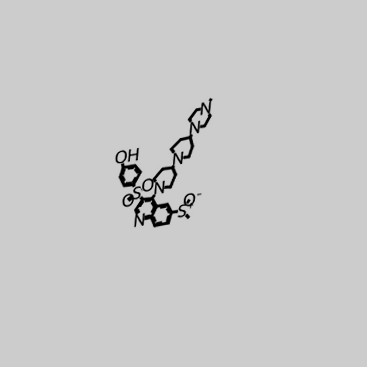 CN1CCN(C2CCN(C3CCN(c4c(S(=O)(=O)c5ccc(O)cc5)cnc5ccc([S+](C)[O-])cc45)CC3)CC2)CC1